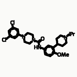 COc1ccc(NC(=O)N2CCN(c3cc(Cl)cc(Cl)c3)CC2)cc1C1CCN(C(C)C)CC1